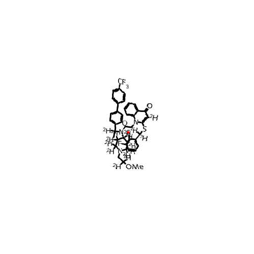 [2H]c1c(SC([2H])([2H])c2cccc(F)c2F)n(CC(=O)N(C([2H])(C)c2ccc(-c3ccc(C(F)(F)F)cc3)cc2)C2([2H])C([2H])([2H])C([2H])([2H])N(CC([2H])([2H])OC)C([2H])([2H])C2([2H])[2H])c2ccccc2c1=O